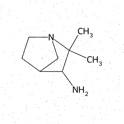 CC1(C)C(N)C2CCN1C2